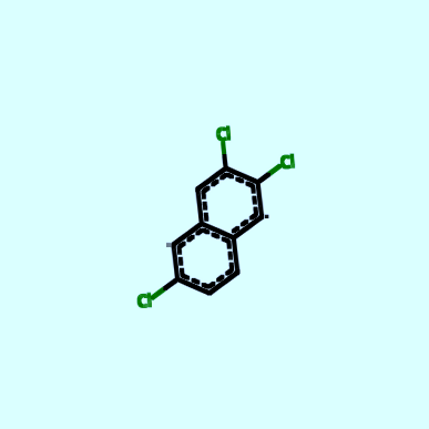 Clc1[c]c2cc(Cl)c(Cl)[c]c2cc1